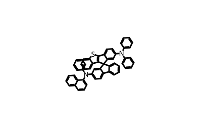 c1ccc(N(c2ccccc2)c2ccc3c(c2)C2(c4ccccc4-c4ccc(N(c5ccccc5)c5cccc6ccccc56)cc42)c2c-3sc3ccccc23)cc1